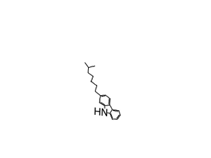 CC(C)CCCCCc1ccc2c(c1)[nH]c1ccccc12